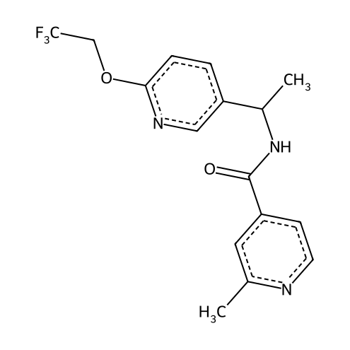 Cc1cc(C(=O)NC(C)c2ccc(OCC(F)(F)F)nc2)ccn1